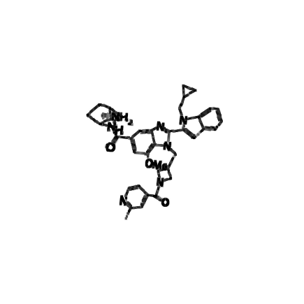 COc1cc(C(=O)N2CC3CCC2[C@@H]3N)cc2nc(-c3cc4ccccc4n3CC3CC3)n(CC3CN(C(=O)c4ccnc(C)c4)C3)c12